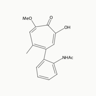 COc1cc(C)c(-c2ccccc2NC(C)=O)cc(O)c1=O